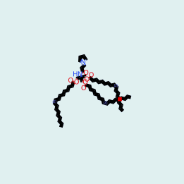 CCCCCCCC/C=C\CCCCCCCC(=O)OCC(COC(=O)CCCCCCC/C=C\CCCCCCCC)(COC(=O)CCCCCCC/C=C\CCCCCCCC)NC(=O)CCN1CCCC1